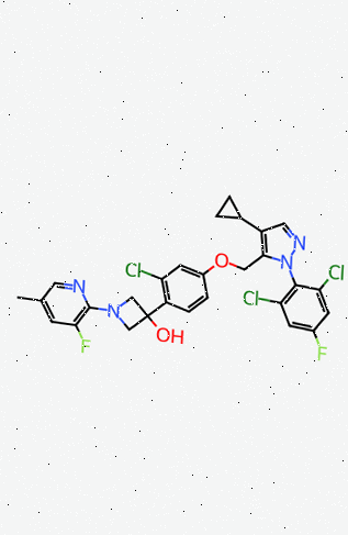 Cc1cnc(N2CC(O)(c3ccc(OCc4c(C5CC5)cnn4-c4c(Cl)cc(F)cc4Cl)cc3Cl)C2)c(F)c1